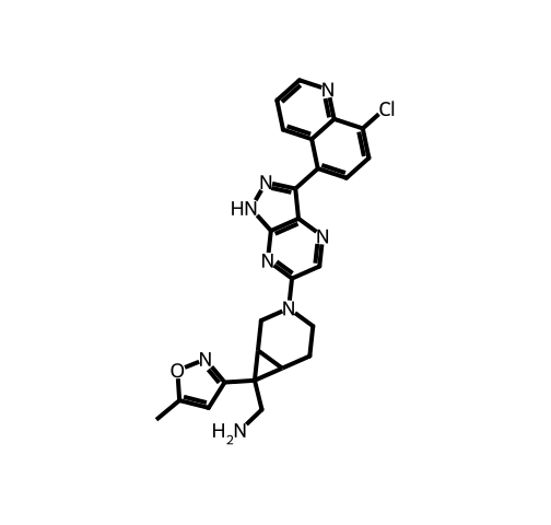 Cc1cc(C2(CN)C3CCN(c4cnc5c(-c6ccc(Cl)c7ncccc67)n[nH]c5n4)CC32)no1